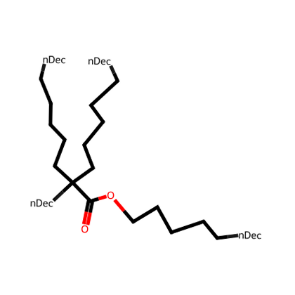 CCCCCCCCCCCCCCCOC(=O)C(CCCCCCCCCC)(CCCCCCCCCCCCCCC)CCCCCCCCCCCCCCC